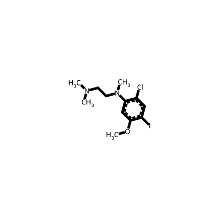 COc1cc(N(C)CCN(C)C)c(Cl)cc1I